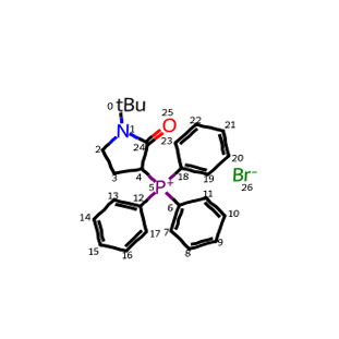 CC(C)(C)N1CCC([P+](c2ccccc2)(c2ccccc2)c2ccccc2)C1=O.[Br-]